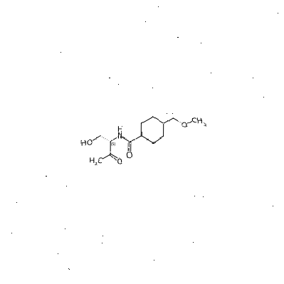 COCC1CCC(C(=O)N[C@@H](CO)C(C)=O)CC1